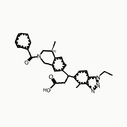 CCn1nnc2c(C)c(C(CC(=O)O)c3ccc4c(c3)CN(C(=O)c3ccccc3)C[C@H]4C)ccc21